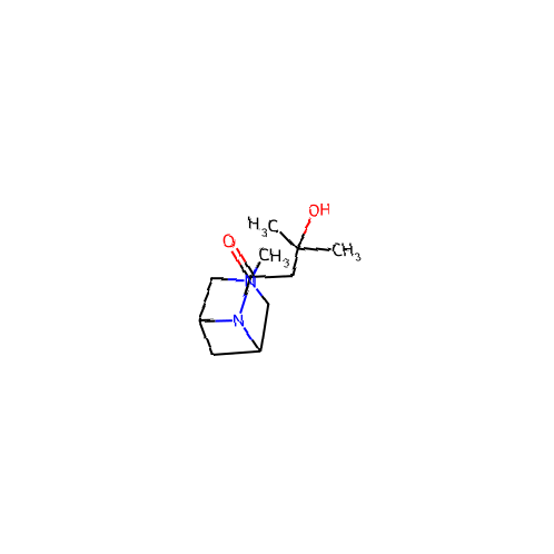 CN1CC2CC(C1)N2C(=O)CC(C)(C)O